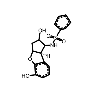 O=S(=O)(NC1C(O)CC2Oc3c(O)cccc3[C@@H]21)c1ccccc1